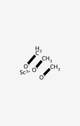 C[O-].C[O-].C[O-].[Sc+3]